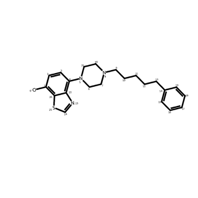 [O]c1ccc(N2CCN(CCCCCc3ccccc3)CC2)c2ncsc12